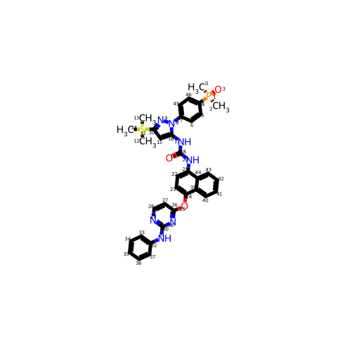 CP(C)(=O)c1ccc(-n2nc(S(C)(C)C)cc2NC(=O)Nc2ccc(Oc3ccnc(Nc4ccccc4)n3)c3ccccc23)cc1